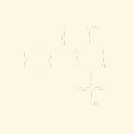 COC1CNC(S(N)(=O)=O)CN1C(=O)c1ccccc1